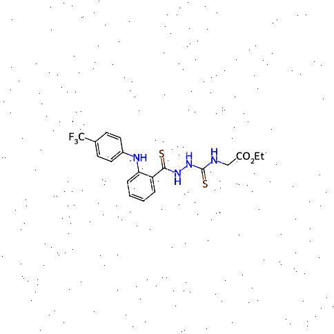 CCOC(=O)CNC(=S)NNC(=S)c1ccccc1Nc1ccc(C(F)(F)F)cc1